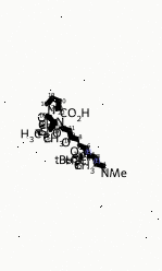 CNC/C=C/C(C)=C/[C@H](CC(=O)Cc1nc(C(=O)N2CCC[C@@H]2C(=O)O)c([Si](C)(C)C)o1)O[Si](C)(C)C(C)(C)C